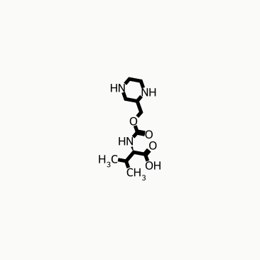 CC(C)[C@H](NC(=O)OCC1CNCCN1)C(=O)O